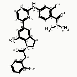 CN(C)C(=O)c1ccc(Nc2nccc(-c3cc(C#N)c4c(c3)CCN4C(=O)Cc3ccccc3F)n2)cc1F